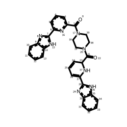 O=C(c1cccc(-c2nc3ccccc3[nH]2)n1)N1CCN(C(=O)C2C=CC=C(c3nc4ccccc4[nH]3)N2)CC1